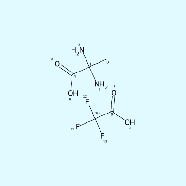 CC(N)(N)C(=O)O.O=C(O)C(F)(F)F